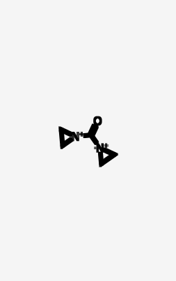 O=C([N+]1CC1)[N+]1CC1